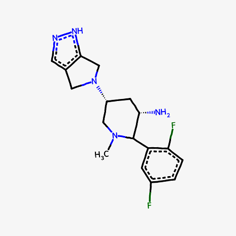 CN1C[C@H](N2Cc3cn[nH]c3C2)C[C@H](N)C1c1cc(F)ccc1F